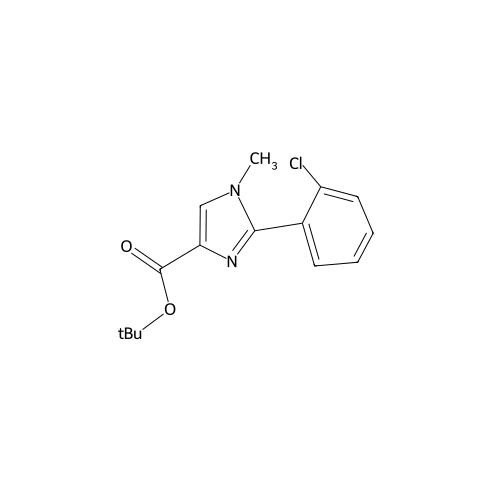 Cn1cc(C(=O)OC(C)(C)C)nc1-c1ccccc1Cl